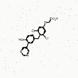 O=C(O)COc1cc(Cl)c(Cc2ccc(O)c(-c3cncnc3)c2)c(Cl)c1